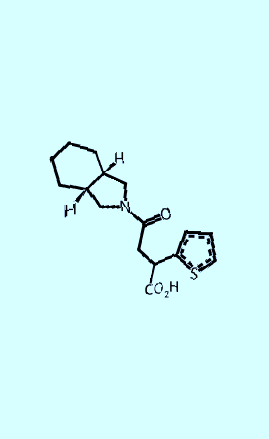 O=C(O)C(CC(=O)N1C[C@H]2CCCC[C@H]2C1)c1cccs1